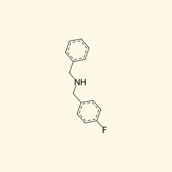 Fc1ccc(CNCc2ccccc2)cc1